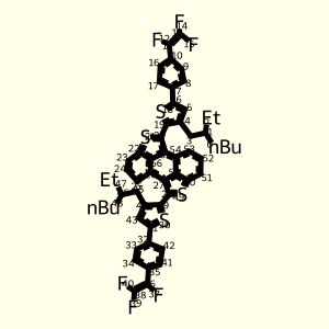 CCCCC(CC)Cc1cc(-c2ccc(C(F)=C(F)F)cc2)sc1-c1sc2cccc3c4c(-c5sc(-c6ccc(C(F)=C(F)F)cc6)cc5CC(CC)CCCC)sc5cccc(c1c23)c54